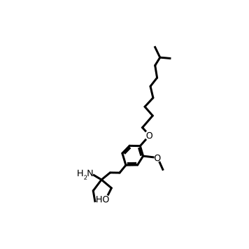 CCC(N)(CO)CCc1ccc(OCCCCCCCC(C)C)c(OC)c1